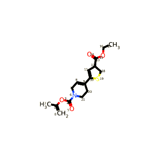 C=C(C)OC(=O)N1CC=C(C2=CC(C(=O)OCC)CS2)CC1